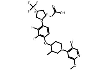 COc1cc(N2CCC(Oc3ccc(N4C[C@H](C(F)(F)F)C[C@@H]4CC(=O)O)c(F)c3F)C(C)C2)c(Cl)cn1